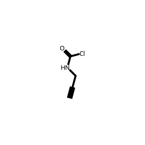 C#CCNC(=O)Cl